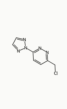 ClCc1ccc(-n2nccn2)nn1